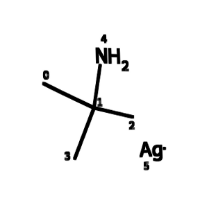 CC(C)(C)N.[Ag]